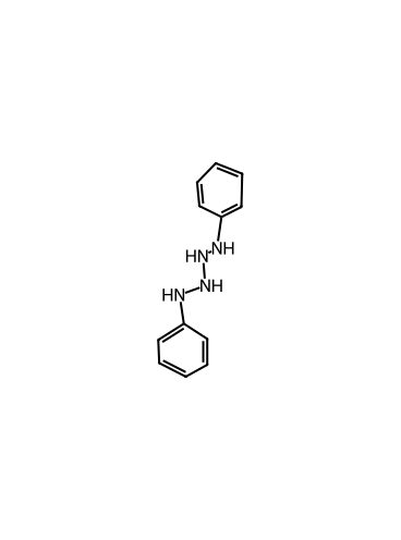 c1ccc(NNNNc2ccccc2)cc1